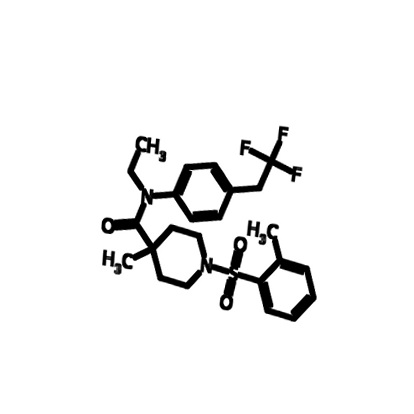 CCN(C(=O)C1(C)CCN(S(=O)(=O)c2ccccc2C)CC1)c1ccc(CC(F)(F)F)cc1